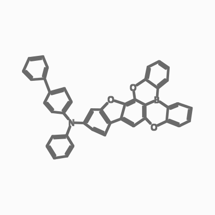 c1ccc(-c2ccc(N(c3ccccc3)c3ccc4c(c3)oc3c5c6c(cc34)Oc3ccccc3B6c3ccccc3O5)cc2)cc1